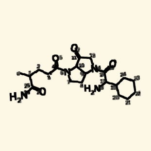 CC(C[CH]C(=O)N1CCC2C1C(=O)CN2C(=O)C(N)C1CCCCC1)C(N)=O